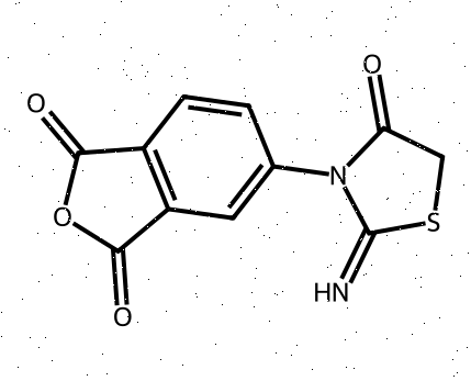 N=C1SCC(=O)N1c1ccc2c(c1)C(=O)OC2=O